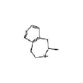 CC1Cc2ccncc2CCN1